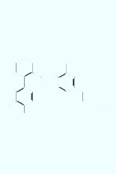 Cc1cc(C2=C(COc3ccc(CCC(=O)O)c(C)c3C)COCC2)ccc1F